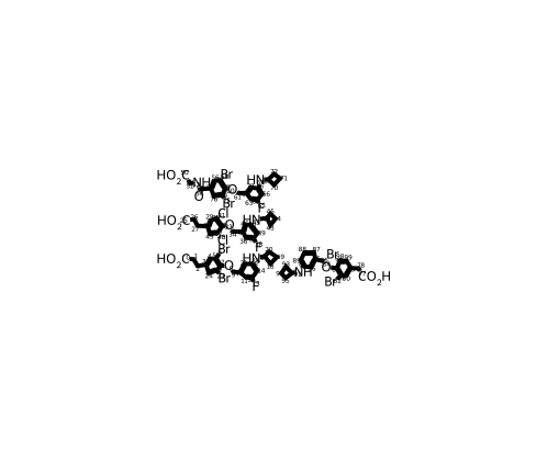 O=C(O)CCc1cc(Br)c(OCc2cc(F)cc(NC3CCC3)c2)c(Br)c1.O=C(O)CCc1cc(Cl)c(OCc2cc(F)cc(NC3CCC3)c2)c(Cl)c1.O=C(O)CNC(=O)c1cc(Br)c(OCc2cc(F)cc(NC3CCC3)c2)c(Br)c1.O=C(O)Cc1cc(Br)c(OCc2cccc(NC3CCC3)c2)c(Br)c1